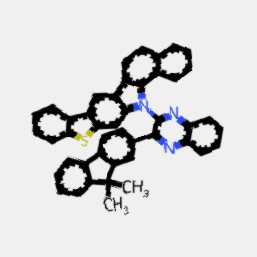 CC1(C)c2ccccc2-c2ccc(-c3nc4ccccc4nc3-n3c4cc5sc6ccccc6c5cc4c4ccc5ccccc5c43)cc21